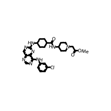 COC(=O)CN1CCC(NC(=O)C2CCC(Nc3ncc4ncnc(Nc5cccc(Cl)c5)c4n3)CC2)CC1